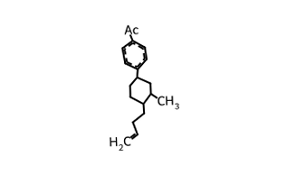 C=CCCC1CCC(c2ccc(C(C)=O)cc2)CC1C